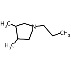 CCCN1CC(C)C(C)C1